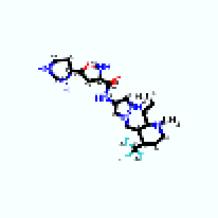 CCCC1C(CN2CC(NC(=O)C3CC(C4CCNCN4)ON3)CN2)C(C(F)(F)F)CCN1C